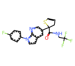 O=C(NCC(F)(F)F)C1(c2cnc3c(ccn3-c3ccc(F)cc3)c2)CC=CS1